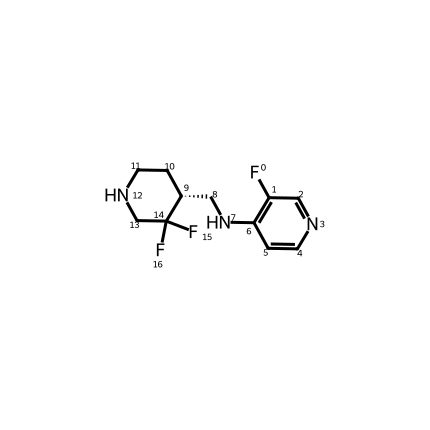 Fc1cnccc1NC[C@H]1CCNCC1(F)F